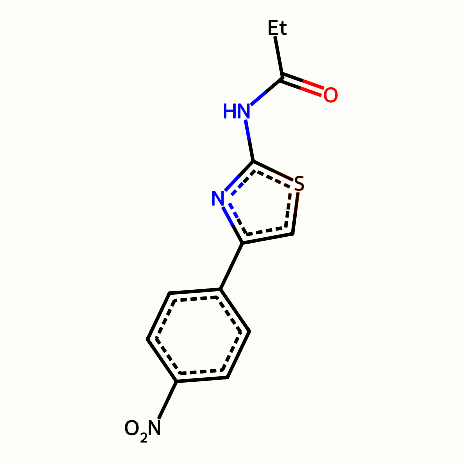 CCC(=O)Nc1nc(-c2ccc([N+](=O)[O-])cc2)cs1